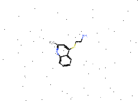 NCCSc1cc(C(F)(F)F)nc2ccccc12